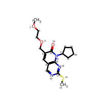 COCCOCc1cc2cnc(SC)nc2n(C2CCCC2)c1=O